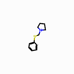 [c]1ccccc1SCN1CCCC1